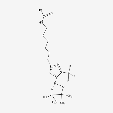 CC1(C)OB(c2cn(CCCCCCNC(=O)O)nc2C(F)(F)F)OC1(C)C